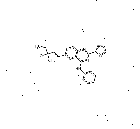 CCC(C)(O)C=Cc1ccc2nc(-c3ccco3)nc(Nc3ccccc3)c2c1